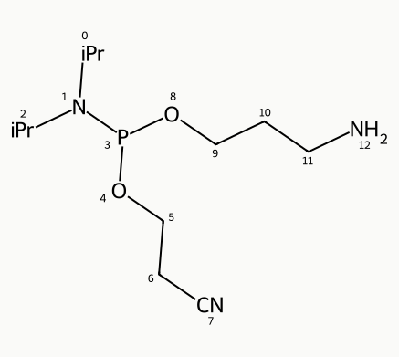 CC(C)N(C(C)C)P(OCCC#N)OCCCN